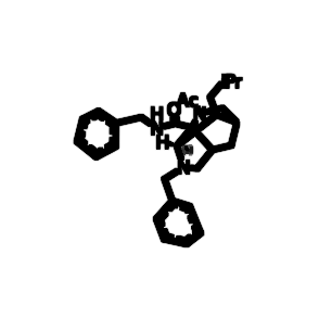 CC(=O)N1CC2CC3CN(Cc4ccccc4)[C@@H](C2CC(C)C)C31C(=O)NCc1ccccc1